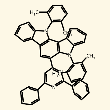 Cc1cccc(C)c1-n1c2ccccc2c2c1c(-c1cc(-c3ccccc3)nc(-c3ccccc3)n1)cc1c3ccccc3n(-c3c(C)cccc3C)c12